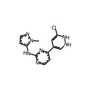 Cn1nccc1Nc1nccc(C2=CNNC(Cl)=C2)n1